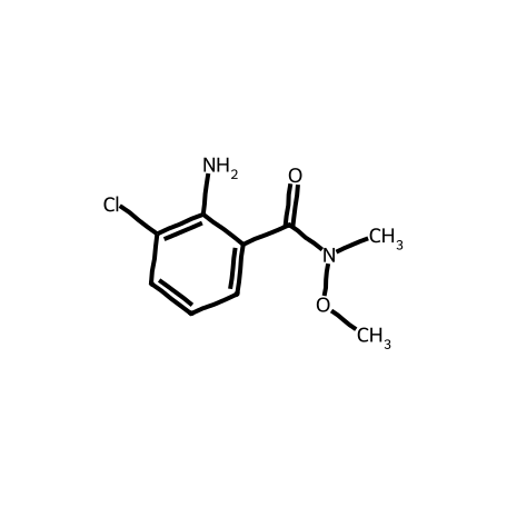 CON(C)C(=O)c1cccc(Cl)c1N